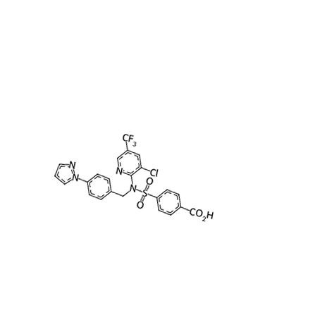 O=C(O)c1ccc(S(=O)(=O)N(Cc2ccc(-n3cccn3)cc2)c2ncc(C(F)(F)F)cc2Cl)cc1